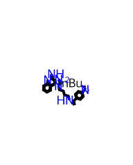 C=C(NCCCCn1c(CCCC)nc2c(N)nc3ccccc3c21)c1ccc(N(C)C)cc1